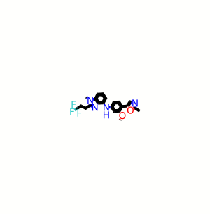 COc1cc(Nc2cccc3c2nc(CCC(F)(F)F)n3C)ccc1-c1cnc(C)o1